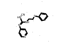 N#CNC(=Nc1ccncc1)NCCSc1ccccc1